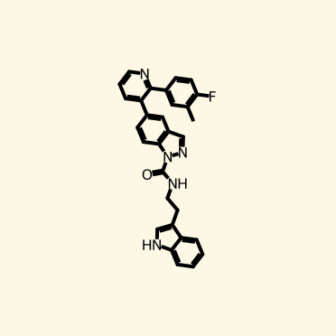 Cc1cc(-c2ncccc2-c2ccc3c(cnn3C(=O)NCCc3c[nH]c4ccccc34)c2)ccc1F